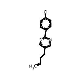 C=CCCc1cnc(-c2ccc(Cl)cc2)nc1